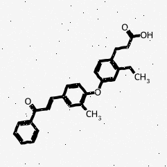 CCc1cc(Oc2ccc(/C=C/C(=O)c3ccccc3)cc2C)ccc1CCC(=O)O